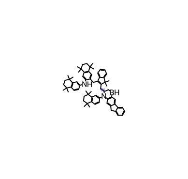 CC1(C)CCC(C)(C)c2cc(Nc3cc4c(cc3CC3=C(/C=C5\CBc6cc7c(cc6N5c5ccc6c(c5)C(C)(C)CCC6(C)C)Cc5ccccc5-7)C(C)(C)c5ccccc53)C(C)(C)CCC4(C)C)ccc21